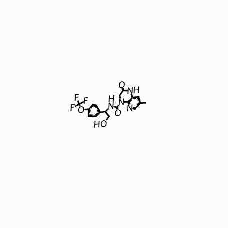 Cc1cnc2c(c1)NC(=O)CN2C(=O)NC(CO)c1ccc(OC(F)(F)F)cc1